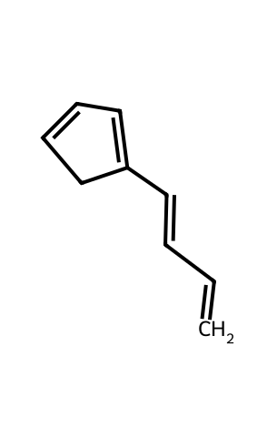 C=CC=CC1=CC=CC1